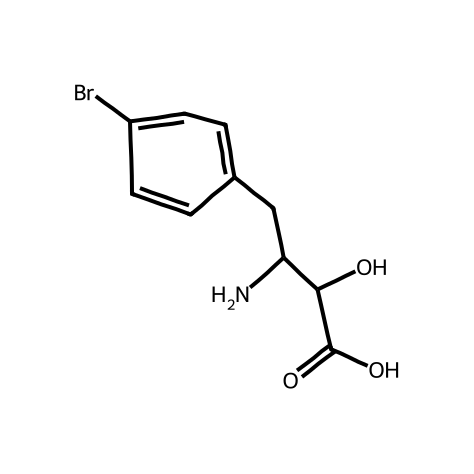 NC(Cc1ccc(Br)cc1)C(O)C(=O)O